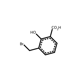 O=C(O)c1cccc(CBr)c1O